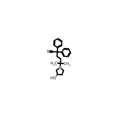 CC(C)(CCC(C#N)(c1ccccc1)c1ccccc1)N1CC[C@@H](O)C1